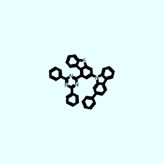 c1ccc(-c2ccc3c4ccccc4n(-c4cc(-c5nc(-c6ccccc6)nc(-c6ccccc6)n5)c5c(c4)sc4ccccc45)c3c2)cc1